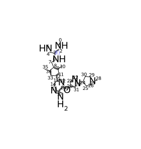 CN/C=C(\C=N)NCc1c(C)cc(-c2cnc(N)c(Oc3cnn(C4CCN(C)CC4)c3)n2)cc1C